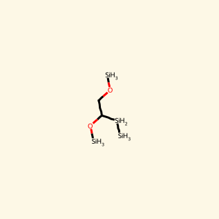 [SiH3]OCC(O[SiH3])[SiH2][SiH3]